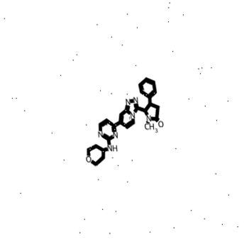 CN1C(=O)CC(c2ccccc2)C1c1nnc2cc(-c3ccnc(NC4CCOCC4)n3)ccn12